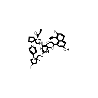 C#Cc1c(F)ccc2cc(O)cc(C3COc4c(NCC5(N(C)C(=O)C=C)CCCC5)nc(OC[C@]5(C)C[C@@H](F)CN5c5ccncc5)nc4O3)c12